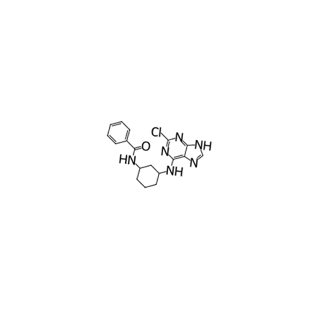 O=C(NC1CCCC(Nc2nc(Cl)nc3[nH]cnc23)C1)c1ccccc1